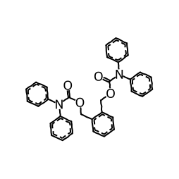 O=C(OCc1ccccc1COC(=O)N(c1ccccc1)c1ccccc1)N(c1ccccc1)c1ccccc1